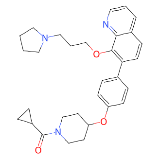 O=C(C1CC1)N1CCC(Oc2ccc(-c3ccc4cccnc4c3OCCCN3CCCC3)cc2)CC1